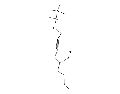 CCCCC(CBr)CC#CCO[Si](C)(C)C(C)(C)C